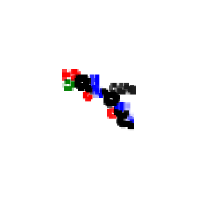 COc1cc(NC(=O)c2ccc(C)nc2)ccc1C=NNC(=O)c1ccc(O)c(Cl)c1